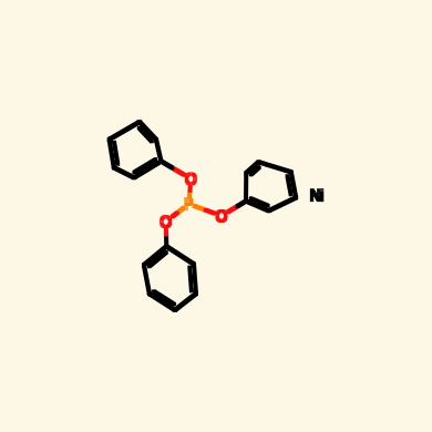 [Ni].c1ccc(OP(Oc2ccccc2)Oc2ccccc2)cc1